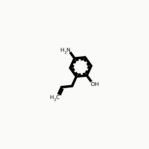 C=CCc1cc(N)ccc1O